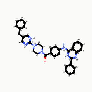 O=C(c1ccc(Nc2nc(-c3ccccc3)nc3ccccc23)cc1)N1CCN(c2ncc(Cc3ccccc3)cn2)CC1